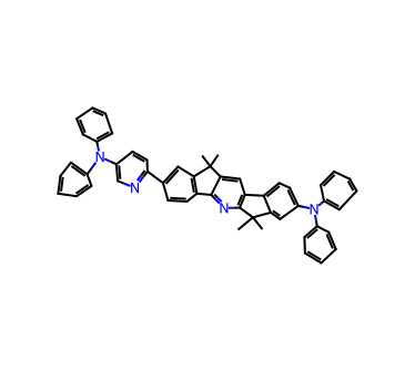 CC1(C)c2cc(-c3ccc(N(c4ccccc4)c4ccccc4)cn3)ccc2-c2nc3c(cc21)-c1ccc(N(c2ccccc2)c2ccccc2)cc1C3(C)C